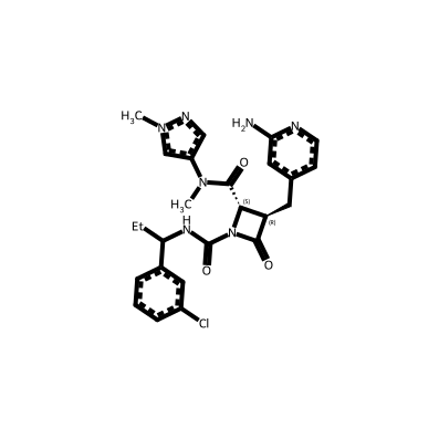 CCC(NC(=O)N1C(=O)[C@H](Cc2ccnc(N)c2)[C@H]1C(=O)N(C)c1cnn(C)c1)c1cccc(Cl)c1